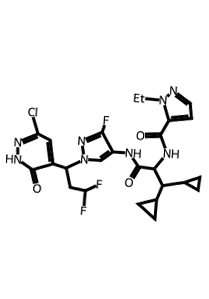 CCn1nccc1C(=O)NC(C(=O)Nc1cn(C(CC(F)F)c2cc(Cl)n[nH]c2=O)nc1F)C(C1CC1)C1CC1